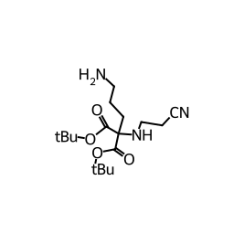 CC(C)(C)OC(=O)C(CCCN)(NCCC#N)C(=O)OC(C)(C)C